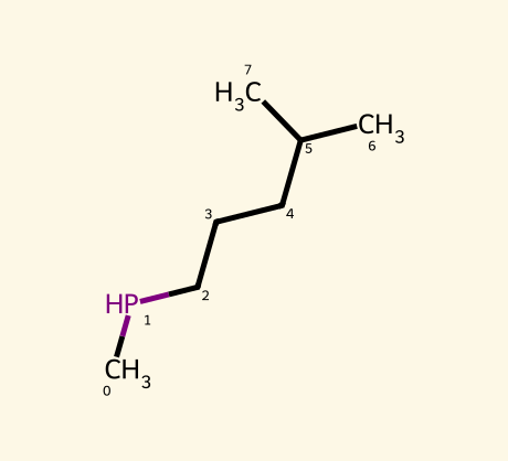 CPCCCC(C)C